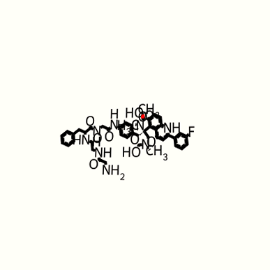 COc1ccc2[nH]c(-c3cccc(F)c3)cc(=O)c2c1[C@@](Cc1ccc(NC(=O)CNC(=O)C(Cc2ccccc2)NC(=O)CNC(=O)CN)cc1)(CN(C)C(=O)O)N(C)C(=O)O